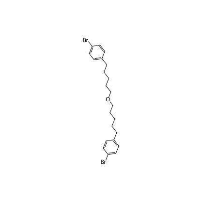 Brc1ccc(CCCCCOCCCCCc2ccc(Br)cc2)cc1